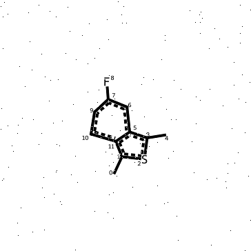 Cc1sc(C)c2cc(F)ccc12